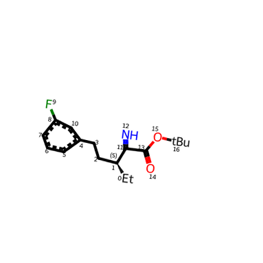 CC[C@@H](CCc1cccc(F)c1)C(=N)C(=O)OC(C)(C)C